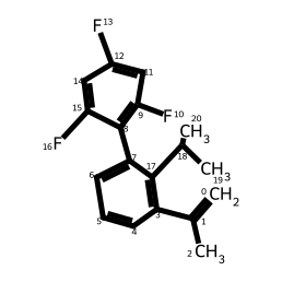 C=C(C)c1cccc(-c2c(F)cc(F)cc2F)c1C(C)C